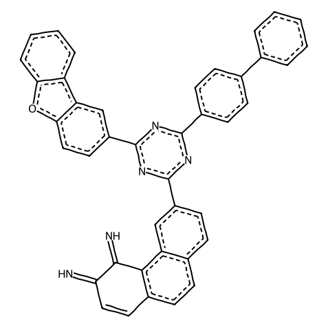 N=C1C=Cc2ccc3ccc(-c4nc(-c5ccc(-c6ccccc6)cc5)nc(-c5ccc6oc7ccccc7c6c5)n4)cc3c2C1=N